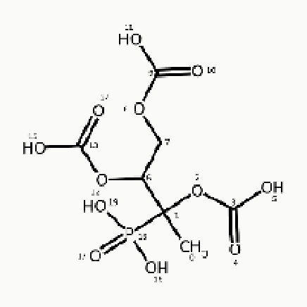 CC(OC(=O)O)(C(COC(=O)O)OC(=O)O)P(=O)(O)O